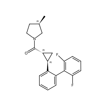 C[C@@H]1CCN(C(=O)[C@@H]2C[C@H]2c2ccccc2-c2c(F)cccc2F)C1